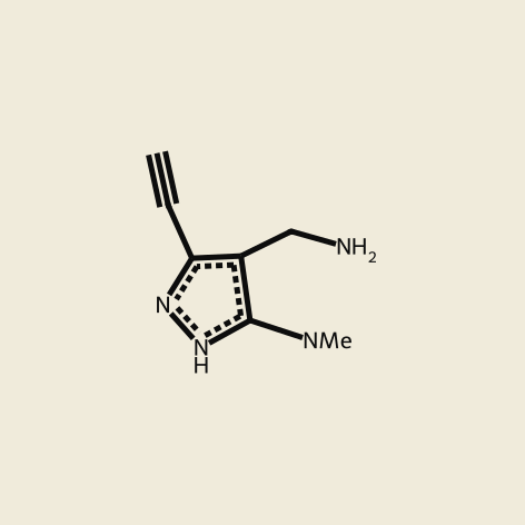 C#Cc1n[nH]c(NC)c1CN